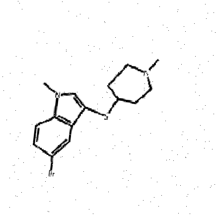 CN1CCC(Sc2cn(C)c3ccc(Br)cc23)CC1